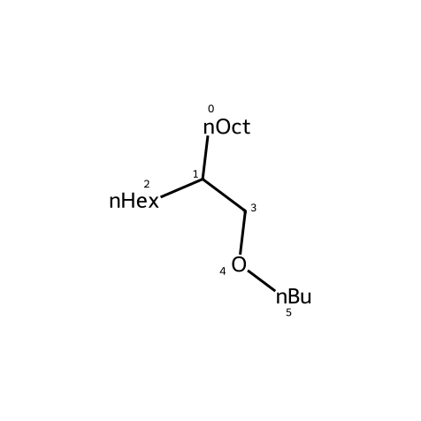 CCCCCCCCC(CCCCCC)COCCCC